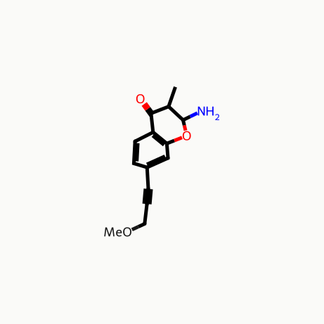 COCC#Cc1ccc2c(c1)OC(N)C(C)C2=O